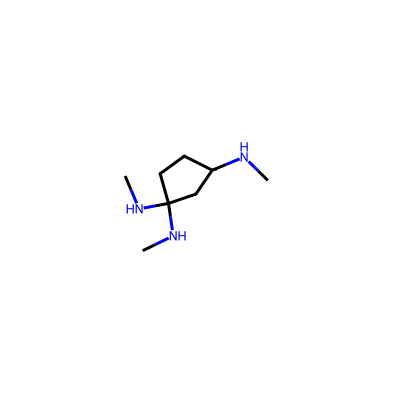 CN[C]1CCC(NC)(NC)C1